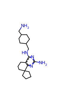 NCC1CCC(CNc2nc(N)nc3c2CCCC32CCCC2)CC1